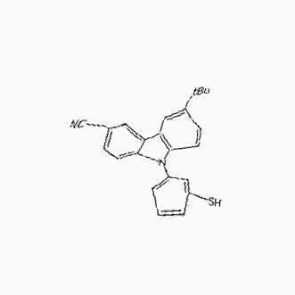 CC(C)(C)c1ccc2c(c1)c1cc(C#N)ccc1n2-c1cccc(S)c1